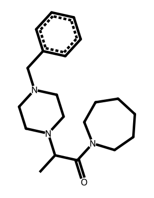 CC(C(=O)N1CCCCCC1)N1CCN(Cc2ccccc2)CC1